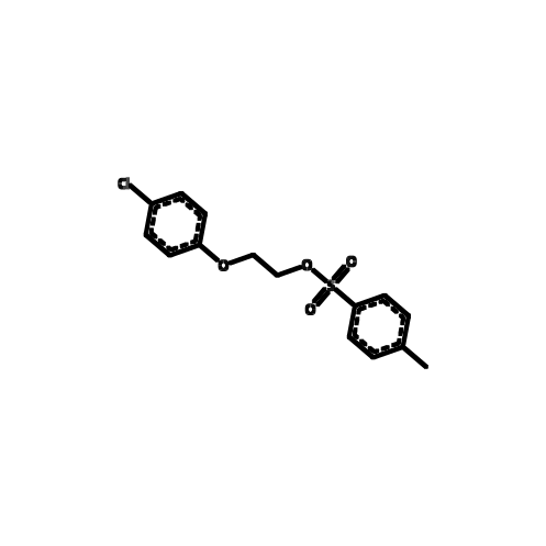 Cc1ccc(S(=O)(=O)OCCOc2ccc(Cl)cc2)cc1